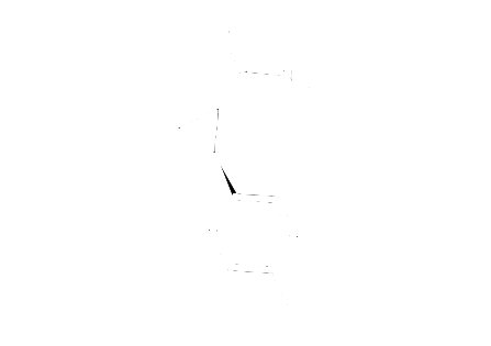 NC(=O)[C@H]1C[C@@H]1c1ccc(Br)cc1